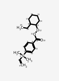 C=C[Si](C)(C)c1ccc(C(=O)OO[C]2CCCCC2CC)cc1